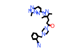 Cc1nn(-c2ccc3nnc(C)n3n2)c(C)c1CCC(=O)N1CCN(Cc2ccccc2C#N)CC1